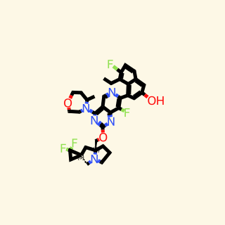 CCc1c(F)ccc2cc(O)cc(-c3ncc4c(N5CCOCCC5C)nc(OC[C@@]56CCCN5C[C@@]5(CC5(F)F)C6)nc4c3F)c12